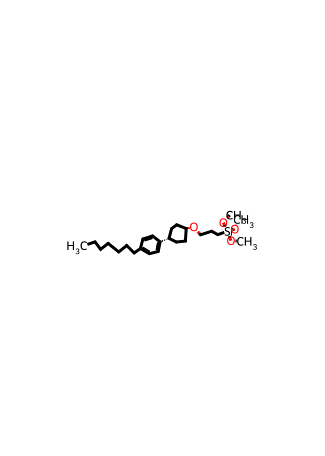 CCCCCCCc1ccc([C@H]2CC[C@H](OCCC[Si](OC)(OC)OC)CC2)cc1